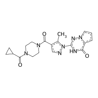 Cc1c(C(=O)N2CCN(C(=O)C3CC3)CC2)cnn1-c1nn2cccc2c(=O)[nH]1